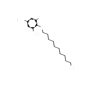 CCCCCCCCCCC[P]c1c(C)cc(C)cc1C